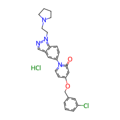 Cl.O=c1cc(OCc2cccc(Cl)c2)ccn1-c1ccc2c(cnn2CCN2CCCC2)c1